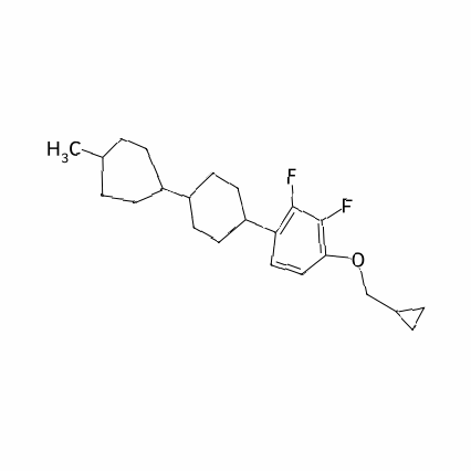 CC1CCC(C2CCC(c3ccc(OCC4CC4)c(F)c3F)CC2)CC1